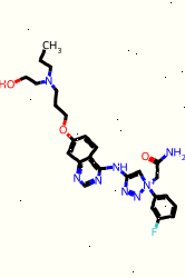 CCCN(CCO)CCCOc1ccc2c(NC3=C[N+](CC(N)=O)(c4cccc(F)c4)N=N3)ncnc2c1